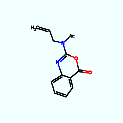 C=CCN(C(C)=O)c1nc2ccccc2c(=O)o1